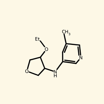 CCOC1COCC1Nc1cncc(C)c1